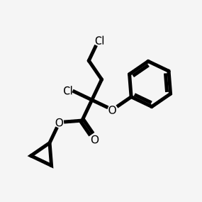 O=C(OC1CC1)C(Cl)(CCCl)Oc1ccccc1